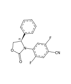 N#Cc1cc(F)c(N2C(=O)OC[C@H]2c2ccccc2)cc1F